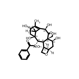 CC(=O)O[C@@]12CO[C@@H]1C[C@H](O)[C@@]1(CO)C(=O)[C@H](O)C3=C(C)[C@@H](O)C[C@@](O)([C@@H](OC(=O)c4ccccc4)[C@H]21)C3(C)C